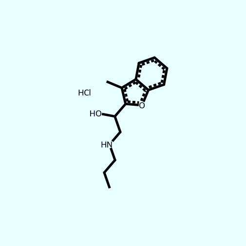 CCCNCC(O)c1oc2ccccc2c1C.Cl